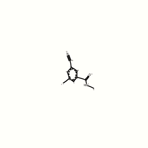 CNC(=O)c1cc(I)cc(C#N)c1